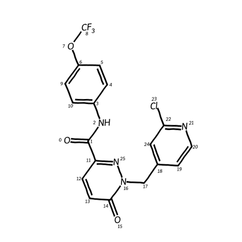 O=C(Nc1ccc(OC(F)(F)F)cc1)c1ccc(=O)n(Cc2ccnc(Cl)c2)n1